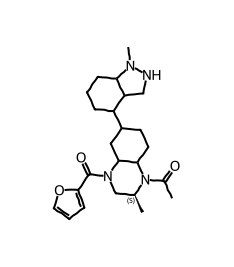 CC(=O)N1C2CCC(C3CCCC4C3CNN4C)CC2N(C(=O)c2ccco2)C[C@@H]1C